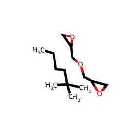 C(OCC1CO1)C1CO1.CCCCC(C)(C)C